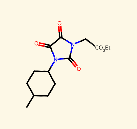 CCOC(=O)CN1C(=O)C(=O)N(C2CCC(C)CC2)C1=O